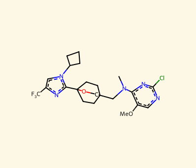 COc1cnc(Cl)nc1N(C)CC12CCC(c3nc(C(F)(F)F)cn3C3CCC3)(CC1)OC2